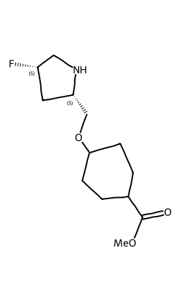 COC(=O)C1CCC(OC[C@@H]2C[C@H](F)CN2)CC1